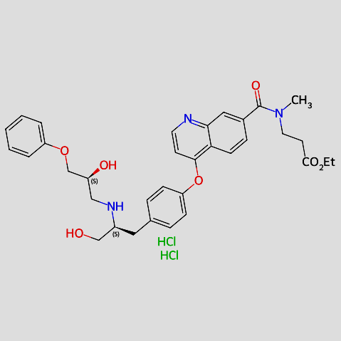 CCOC(=O)CCN(C)C(=O)c1ccc2c(Oc3ccc(C[C@@H](CO)NC[C@H](O)COc4ccccc4)cc3)ccnc2c1.Cl.Cl